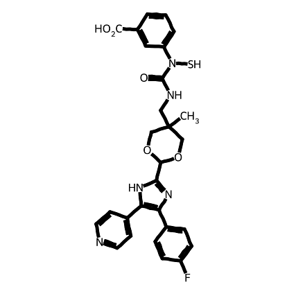 CC1(CNC(=O)N(S)c2cccc(C(=O)O)c2)COC(c2nc(-c3ccc(F)cc3)c(-c3ccncc3)[nH]2)OC1